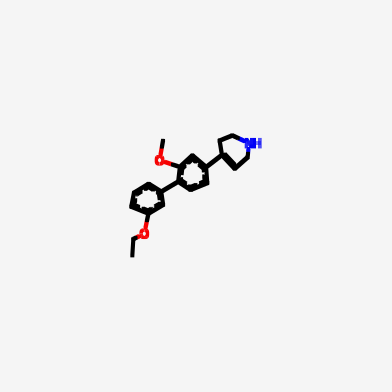 CCOc1cccc(-c2ccc(C3=CCNCC3)cc2OC)c1